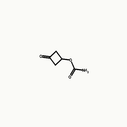 NC(=O)OC1CC(=O)C1